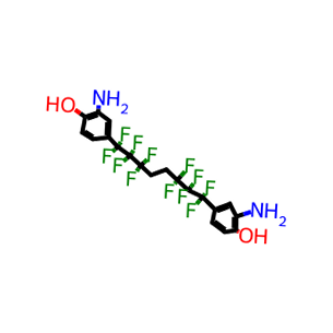 Nc1cc(C(F)(F)C(F)(F)C(F)(F)CCC(F)(F)C(F)(F)C(F)(F)c2ccc(O)c(N)c2)ccc1O